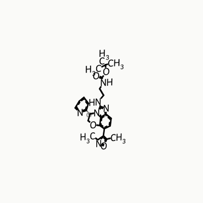 Cc1noc(C)c1-c1ccc2nc(NCCNC(=O)OC(C)(C)C)n3c2c1OC[C@@H]3c1ccccn1